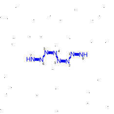 N=N/N=N\N=N/N=N